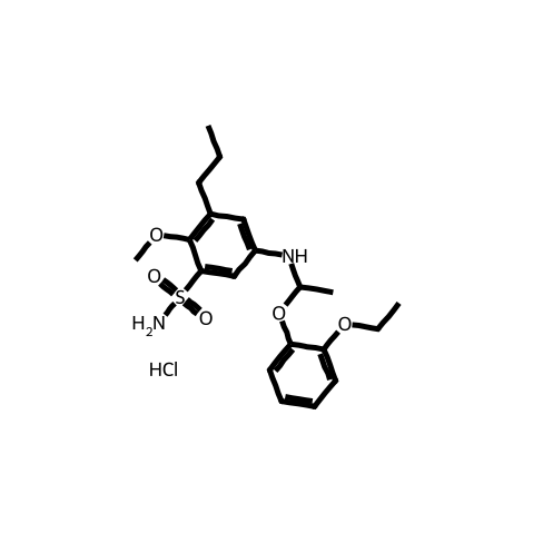 CCCc1cc(NC(C)Oc2ccccc2OCC)cc(S(N)(=O)=O)c1OC.Cl